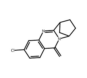 C=C1c2ccc(Cl)cc2N=C2C3CCC(C3)N12